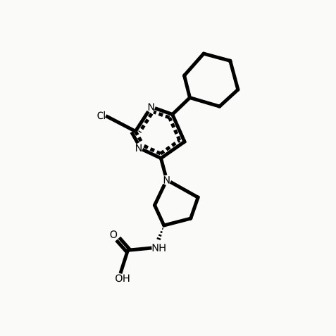 O=C(O)N[C@H]1CCN(c2cc(C3CCCCC3)nc(Cl)n2)C1